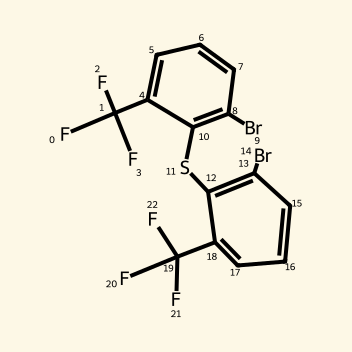 FC(F)(F)c1cccc(Br)c1Sc1c(Br)cccc1C(F)(F)F